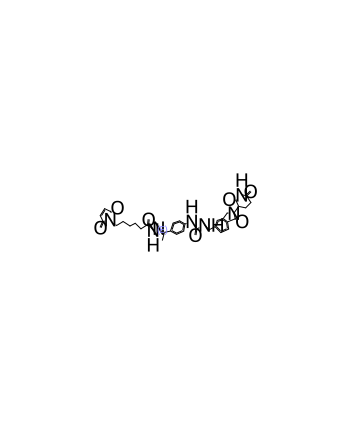 C/C(=N\NC(=O)CCCCCN1C(=O)C=CC1=O)c1ccc(NC(=O)NCc2ccc3c(c2)CN(C2CCC(=O)NC2=O)C3=O)cc1